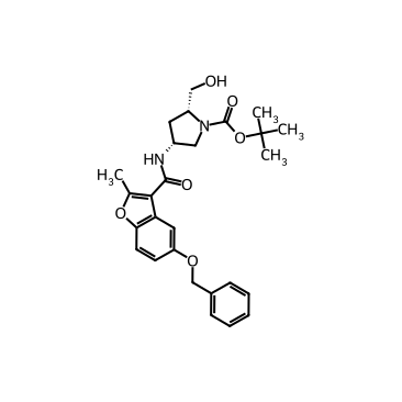 Cc1oc2ccc(OCc3ccccc3)cc2c1C(=O)N[C@@H]1C[C@H](CO)N(C(=O)OC(C)(C)C)C1